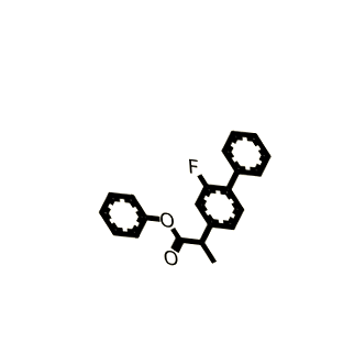 CC(C(=O)Oc1ccccc1)c1ccc(-c2ccccc2)c(F)c1